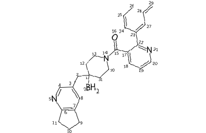 BC1(Cc2cnc3c(c2)CCC3)CCN(C(=O)c2cccnc2C(/C=C\C)=C/C=C)CC1